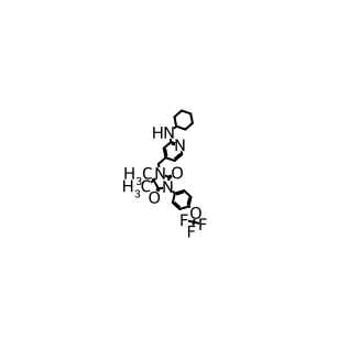 CC1(C)C(=O)N(c2ccc(OC(F)(F)F)cc2)C(=O)N1Cc1ccnc(NC2CCCCC2)c1